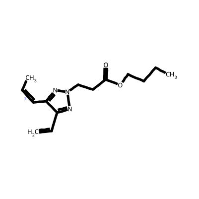 C=Cc1nn(CCC(=O)OCCCC)nc1/C=C\C